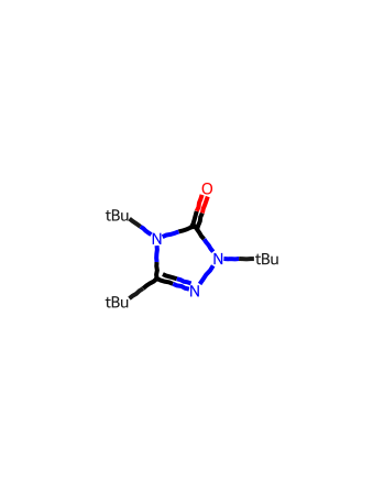 CC(C)(C)c1nn(C(C)(C)C)c(=O)n1C(C)(C)C